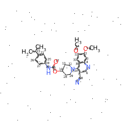 COc1cc2ncc(C#N)c(N3CCC(OC(=O)Nc4ccc(C(C)C)cc4)CC3)c2cc1OC